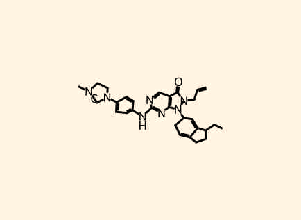 C=CCn1c(=O)c2cnc(Nc3ccc(N4CCN(C)CC4)cc3)nc2n1C1C=C2C(=CC1)CCC2CC